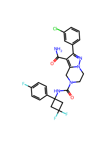 NC(=O)c1c(-c2cccc(Cl)c2)nn2c1CN(C(=O)NC1(c3ccc(F)cc3)CC(F)(F)C1)CC2